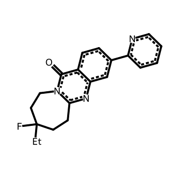 CCC1(F)CCc2nc3cc(-c4ccccn4)ccc3c(=O)n2CC1